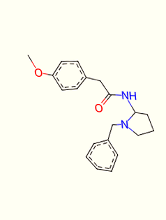 COc1ccc(CC(=O)NC2CCCN2Cc2ccccc2)cc1